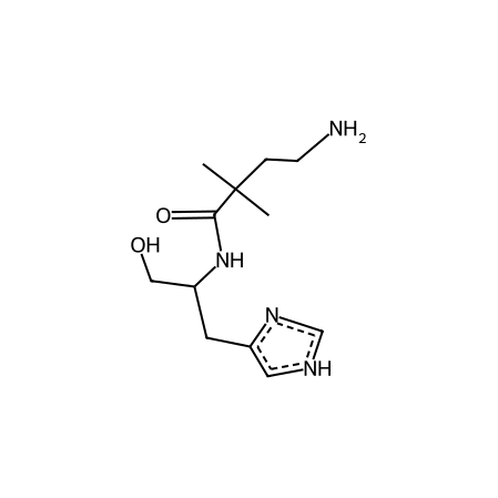 CC(C)(CCN)C(=O)NC(CO)Cc1c[nH]cn1